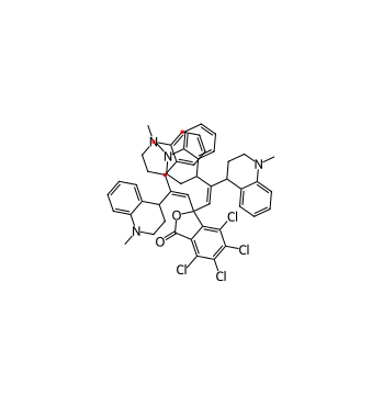 CN1CCC(C(=CC2(C=C(C3CCN(C)c4ccccc43)C3CCN(C)c4ccccc43)OC(=O)c3c(Cl)c(Cl)c(Cl)c(Cl)c32)C2CCN(C)c3ccccc32)c2ccccc21